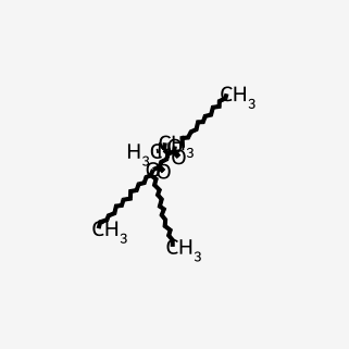 CCCCCCCCCCCCCCOC(=O)C(CCC(=O)OC(CCCCCCCCCCCCCC)CCCCCCCCCCCCCC)N(C)C